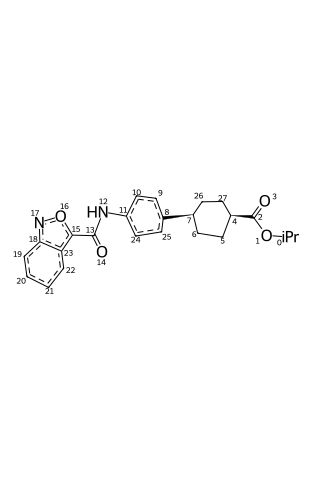 CC(C)OC(=O)[C@H]1CC[C@@H](c2ccc(NC(=O)c3onc4ccccc34)cc2)CC1